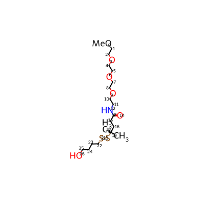 COCCOCCOCCOCCNC(=O)CCC(C)(C)SSCCCCO